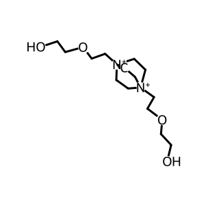 OCCOCC[N+]12CC[N+](CCOCCO)(CC1)CC2